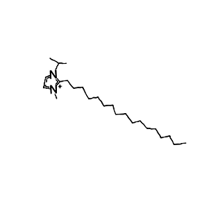 CCCCCCCCCCCCCCCCCc1n(C(C)C)cc[n+]1C